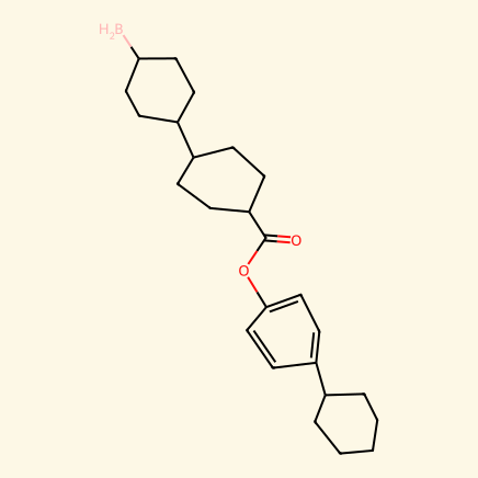 BC1CCC(C2CCC(C(=O)Oc3ccc(C4CCCCC4)cc3)CC2)CC1